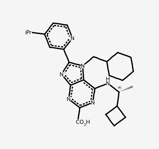 CC(C)c1ccnc(-c2nc3nc(C(=O)O)nc(N[C@H](C)C4CCC4)c3n2CC2CCCCC2)c1